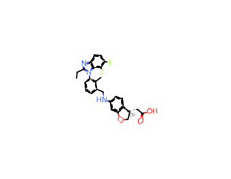 CCc1nc2ccc(F)c(F)c2n1-c1cccc(CNc2ccc3c(c2)OC[C@H]3CC(=O)O)c1C